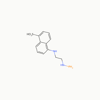 O=S(=O)(O)c1cccc2c(NCCNP)cccc12